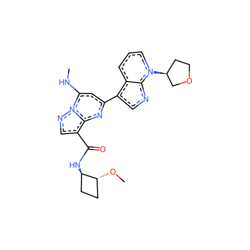 CNc1cc(-c2cnc3n([C@H]4CCOC4)cccc2-3)nc2c(C(=O)N[C@@H]3CC[C@H]3OC)cnn12